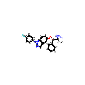 CCC[C@H](N)[C@H](Oc1ccc2c(cnn2-c2ccc(F)cc2)c1)c1ccccc1